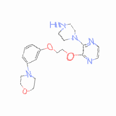 c1cc(OCCOc2nccnc2N2CCNCC2)cc(N2CCOCC2)c1